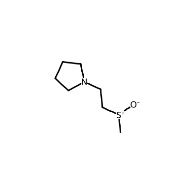 C[S+]([O-])CCN1CCCC1